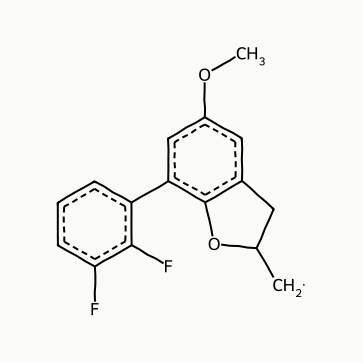 [CH2]C1Cc2cc(OC)cc(-c3cccc(F)c3F)c2O1